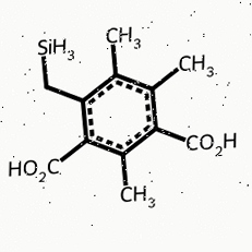 Cc1c(C)c(C(=O)O)c(C)c(C(=O)O)c1C[SiH3]